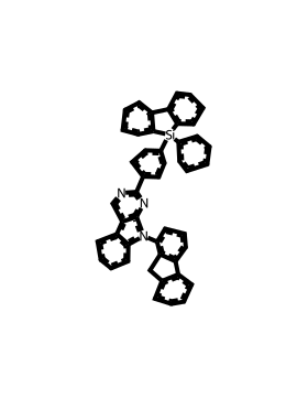 c1ccc([Si]2(c3ccc(-c4ncc5c6ccccc6n(-c6cccc7c6Cc6ccccc6-7)c5n4)cc3)c3ccccc3-c3ccccc32)cc1